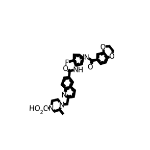 CC1CN(C(=O)O)CCN1Cc1ccc2cc(C(=O)Nc3cc(NC(=O)c4ccc5c(c4)OCCO5)ccc3F)ccc2n1